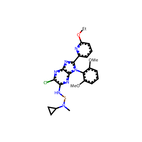 CCOc1cccc(-c2nc3nc(Cl)c(NSN(C)C4CC4)nc3n2-c2c(OC)cccc2OC)n1